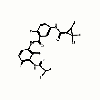 CC1[C@H](C(=O)Nc2ccc(F)c(C(=O)Nc3ccc(F)c(NC(=O)C(F)F)c3F)c2)C1(Cl)Cl